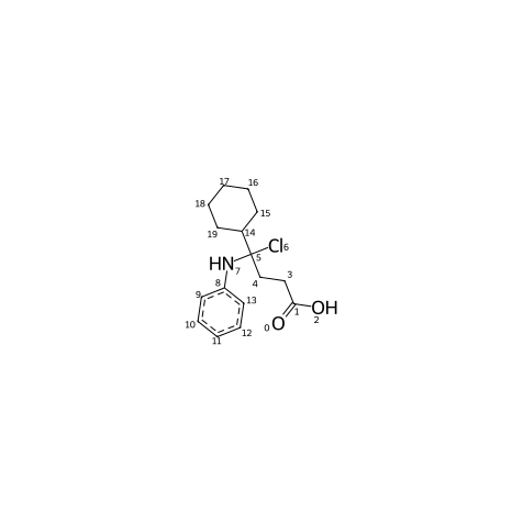 O=C(O)CCC(Cl)(Nc1ccccc1)C1CCCCC1